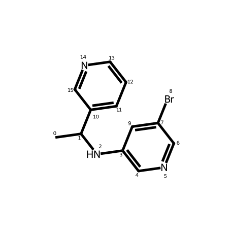 CC(Nc1cncc(Br)c1)c1cccnc1